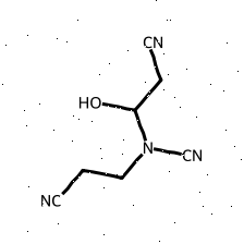 N#CCCN(C#N)C(O)CC#N